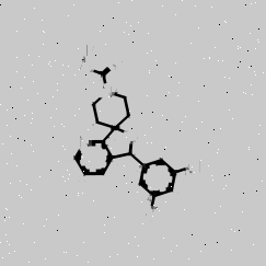 CC(C)(C)OC(=O)N1CCC2(CC1)OC(c1cc(Cl)cc(Cl)c1)c1cccnc12